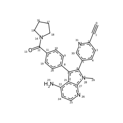 C#Cc1ccc(-c2c(-c3ccc(C(=O)N4CCCC4)cc3)c3c(N)ccnc3n2C)cn1